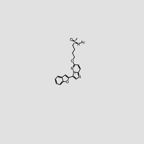 CC(=O)N=S(C)(=O)CCCCOc1ccc2ncc(-c3cc4ccccc4o3)n2n1